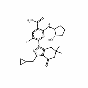 CC1(C)CC(=O)c2c(CC3CC3)nn(-c3cc(N[C@H]4CCC[C@@H]4O)c(C(N)=O)cc3F)c2C1